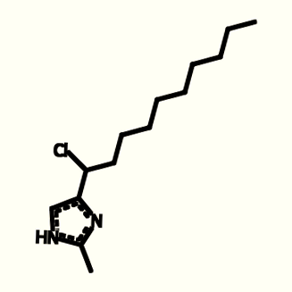 CCCCCCCCCC(Cl)c1c[nH]c(C)n1